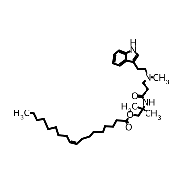 CCCCCCCC/C=C\CCCCCCCC(=O)OCC(C)(C)NC(=O)CCN(C)CCc1c[nH]c2ccccc12